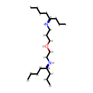 CCCCC(CCC)=NCCCOCCN=C(CCC)CCCC